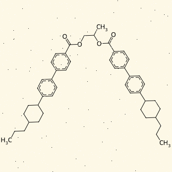 CCCC1CCC(c2ccc(-c3ccc(C(=O)OCC(C)OC(=O)c4ccc(-c5ccc(C6CCC(CCC)CC6)cc5)cc4)cc3)cc2)CC1